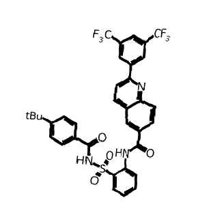 CC(C)(C)c1ccc(C(=O)NS(=O)(=O)c2ccccc2NC(=O)c2ccc3nc(-c4cc(C(F)(F)F)cc(C(F)(F)F)c4)ccc3c2)cc1